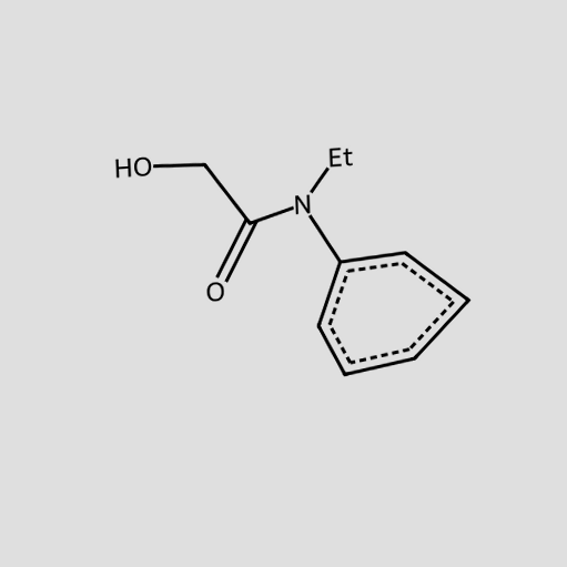 CCN(C(=O)CO)c1ccccc1